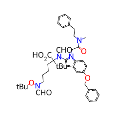 CN(CCc1ccccc1)C(=O)Cn1c(N(C=O)C(CCCCN(C=O)OC(C)(C)C)(C(=O)O)C(C)(C)C)cc2cc(OCc3ccccc3)ccc21